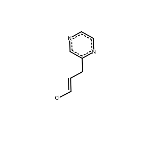 ClC=CCc1cnccn1